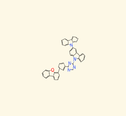 c1cc(-c2ncnc(-n3c4ccccc4c4cc(-n5c6ccccc6c6ccccc65)ccc43)n2)cc(-c2cccc3c2oc2ccccc23)c1